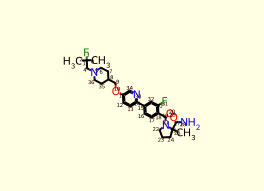 CC(C)(F)CN1CCC(COc2ccc(-c3ccc(C(=O)N4CCCC4(C)C(N)=O)c(F)c3)nc2)CC1